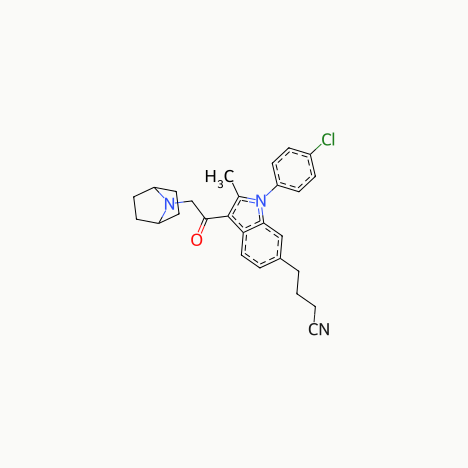 Cc1c(C(=O)CN2C3CCC2CC3)c2ccc(CCCC#N)cc2n1-c1ccc(Cl)cc1